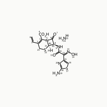 C=CC1=C(C(=O)O)N2C(=O)[C@@H](NC(=O)C(=NO)c3csc(N)n3)[C@H]2SC1.N.[H]